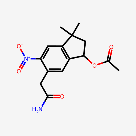 CC(=O)OC1CC(C)(C)c2cc([N+](=O)[O-])c(CC(N)=O)cc21